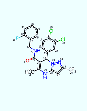 CC1=C(C(=O)NCc2ccccc2F)C(c2ccc(Cl)c(Cl)c2)n2nc(C(F)(F)F)cc2N1